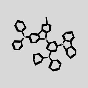 Cc1ccc2c(c1)c1cc(N(c3ccccc3)c3ccccc3)ccc1n2-c1cc(N(c2ccccc2)c2ccccc2)cc(-n2c3ccccc3c3ccccc32)c1